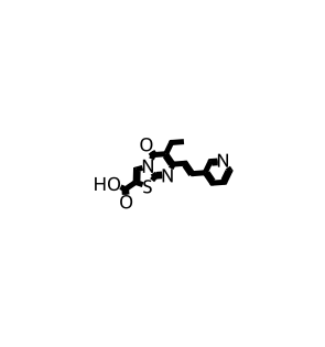 CCc1c(/C=C/c2cccnc2)nc2sc(C(=O)O)cn2c1=O